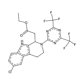 CCOC(=O)CC1c2[nH]c3ccc(Cl)cc3c2CCN1c1nc(C(F)(F)F)nc(C(F)(F)F)n1